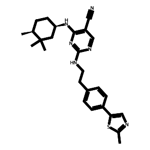 Cc1ncc(-c2ccc(CCNc3ncc(C#N)c(N[C@@H]4CC[C@H](C)C(C)(C)C4)n3)cc2)s1